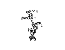 CNC(=O)c1ccc(NCC#Cc2cc3c(N[C@@H]4CCN(C(=O)OC(C)(C)C)C[C@@H]4F)cccn3c2CC(F)(F)F)c(OC)c1